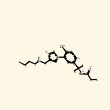 CCCCNCc1cn(-c2cc(C(C)(C)NC(=O)CC)ccc2Cl)cn1